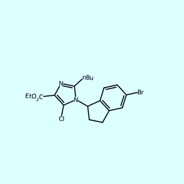 CCCCc1nc(C(=O)OCC)c(Cl)n1C1CCc2cc(Br)ccc21